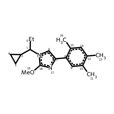 CCC(C1CC1)n1cc(-c2cc(C)c(C)cc2C)nc1OC